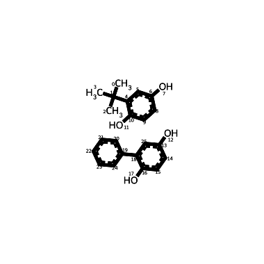 CC(C)(C)c1cc(O)ccc1O.Oc1ccc(O)c(-c2ccccc2)c1